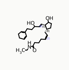 CCNC(=O)CCC/C=C\C[C@H]1CCC(O)[C@@H]1/C=C/C(O)CCC1=CCCC=C1